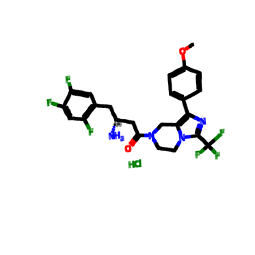 COc1ccc(-c2nc(C(F)(F)F)n3c2CN(C(=O)C[C@H](N)Cc2cc(F)c(F)cc2F)CC3)cc1.Cl